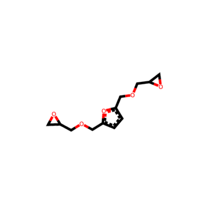 c1cc(COCC2CO2)oc1COCC1CO1